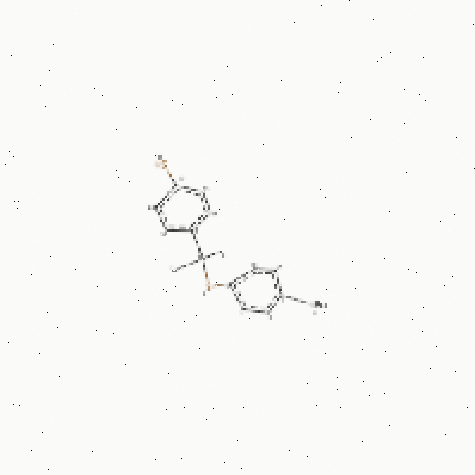 CC(C)(C)c1ccc(SC(C)(C)c2ccc(S)cc2)cc1